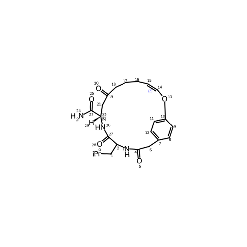 CC(C)CC1NC(=O)Cc2ccc(cc2)O/C=C\CCCC(=O)C[C@@H](C(N)=O)NC1=O